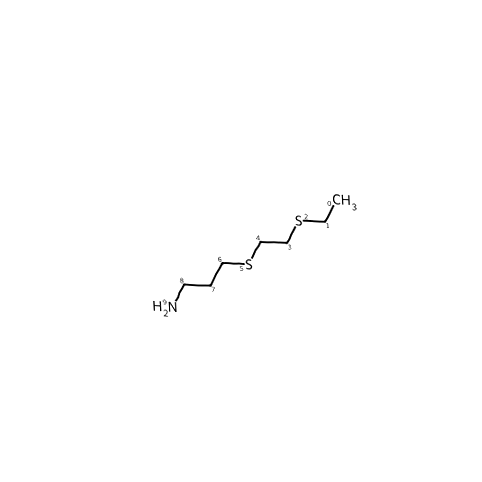 CCSCCSCCCN